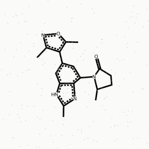 Cc1nc2c(N3C(=O)CCC3C)cc(-c3c(C)noc3C)cc2[nH]1